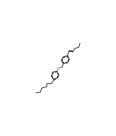 CCCC=Cc1ccc(COc2ccc(CCCCCC)cc2)cc1